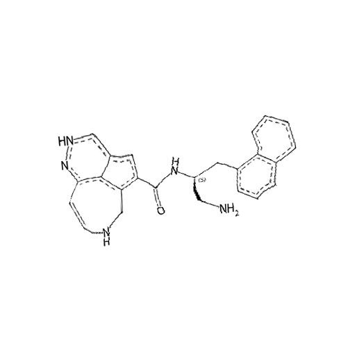 NC[C@H](Cc1cccc2ccccc12)NC(=O)c1cc2c[nH]nc3c-2c1CNC=C3